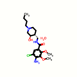 CCCCN1CC[C@H](CNC(=O)c2cc(Cl)c(N)c(OC)c2OC)[C@@H](O)C1.O